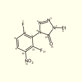 CCn1nnn(-c2c(F)ccc([N+](=O)[O-])c2F)c1=O